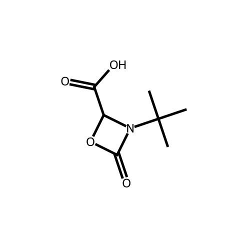 CC(C)(C)N1C(=O)OC1C(=O)O